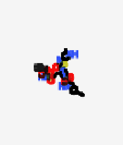 C#Cc1ccc2[nH]c(S(=O)(=O)N3CCN(C(=O)c4nc5c(s4)CNC(C)C5)C(CCS(=O)(=O)NC(=O)OC(C)(C)C)C3)cc2c1